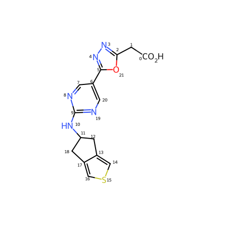 O=C(O)Cc1nnc(-c2cnc(NC3Cc4cscc4C3)nc2)o1